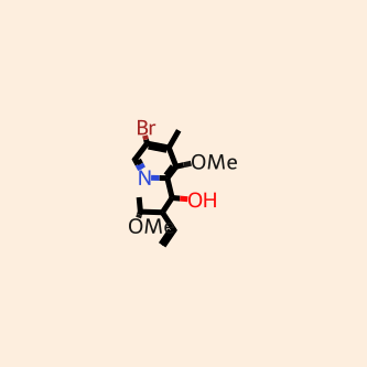 C=CC(C(C)OC)C(O)c1ncc(Br)c(C)c1OC